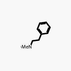 C[N+]CCc1ccccc1